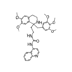 COc1cc2c(cc1OC)C(CCNC(=O)Nc1ccnc3ccccc13)(Cc1cc(OC)c(OC)c(OC)c1)NCC2